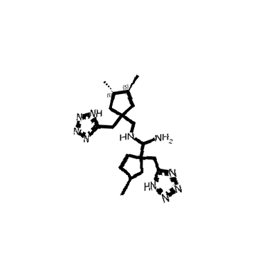 CC1CCC(Cc2nnn[nH]2)(C(N)NCC2(Cc3nnn[nH]3)C[C@H](C)[C@@H](C)C2)C1